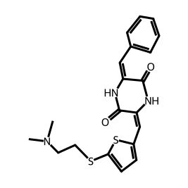 CN(C)CCSc1ccc(C=c2[nH]c(=O)c(=Cc3ccccc3)[nH]c2=O)s1